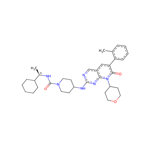 Cc1ccccc1-c1cc2cnc(NC3CCN(C(=O)N[C@H](C)C4CCCCC4)CC3)nc2n(C2CCOCC2)c1=O